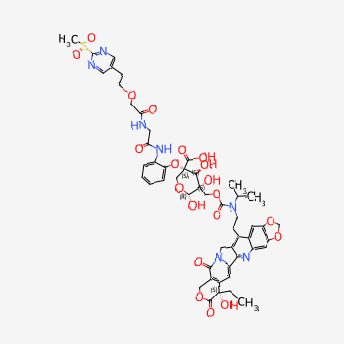 CC[C@@]1(O)C(=O)OCc2c1cc1n(c2=O)Cc2c-1nc1cc3c(cc1c2CCN(C(=O)OC[C@@]1(O)[C@H](O)OC[C@@](Oc2ccccc2NC(=O)CNC(=O)COCCc2cnc(S(C)(=O)=O)nc2)(C(=O)O)[C@H]1O)C(C)C)OCO3